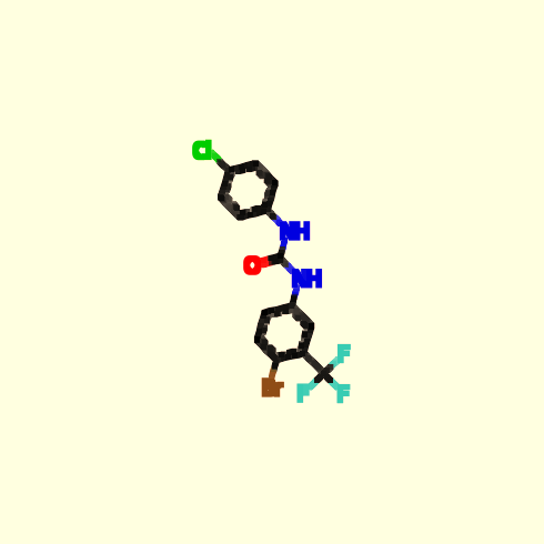 O=C(Nc1ccc(Cl)cc1)Nc1ccc(Br)c(C(F)(F)F)c1